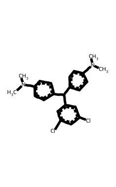 CN(C)c1ccc(C(c2ccc(N(C)C)cc2)c2cc(Cl)cc(Cl)c2)cc1